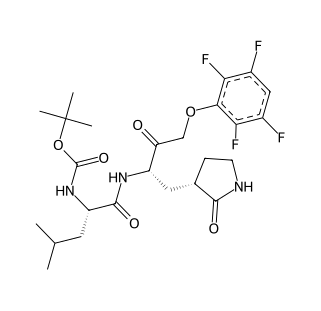 CC(C)C[C@H](NC(=O)OC(C)(C)C)C(=O)N[C@@H](C[C@@H]1CCNC1=O)C(=O)COc1c(F)c(F)cc(F)c1F